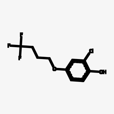 Oc1ccc(OCCCC(F)(F)F)cc1Cl